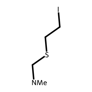 CNCSCCI